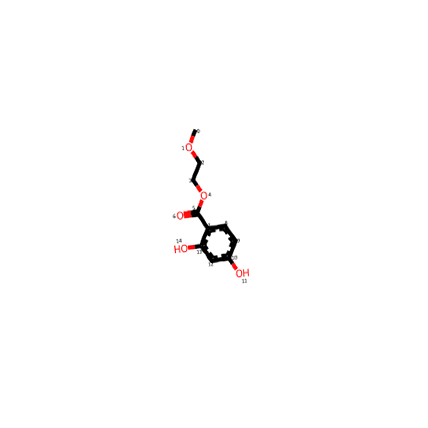 COCCOC(=O)c1ccc(O)cc1O